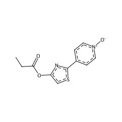 CCC(=O)Oc1csc(-c2cc[n+]([O-])cc2)n1